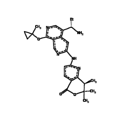 CC[C@H](N)c1cnc(OC2(C)CC2)c2cnc(Nc3ccc4c(n3)[C@@H](C)C(C)(C)OC4=O)cc12